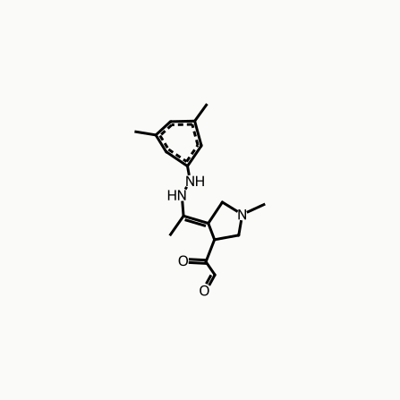 CC(NNc1cc(C)cc(C)c1)=C1CN(C)CC1C(=O)C=O